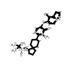 Cn1c(C2CCC3(CCC[C@H]3N[S@+]([O-])C(C)(C)C)CC2)ncc(Sc2ccn3nccc3c2Cl)c1=O